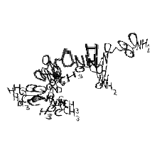 CCC(C)[C@@H](C(CC(=O)N1CCCC1C(OC)C(C)C(=O)NC(Cc1ccccc1)C(=O)NCc1ccc(NC(=O)C(CCCNC(N)=O)NC(=O)CNC(=O)CCCC2OCC(C(N)=O)CO2)cc1)OC)N(C)C(=O)CNC(=O)C(C(C)C)N(C)C